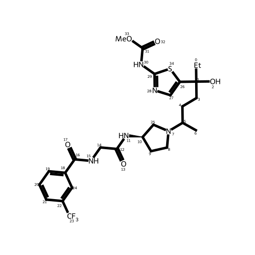 CCC(O)(CCC(C)N1CC[C@@H](NC(=O)CNC(=O)c2cccc(C(F)(F)F)c2)C1)c1cnc(NC(=O)OC)s1